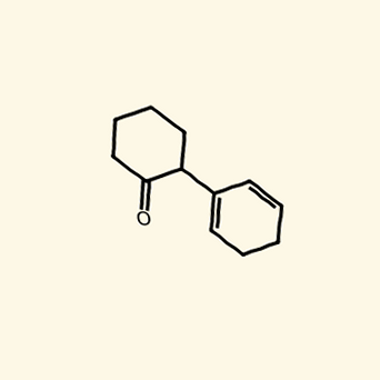 O=C1CCCCC1C1=CCCC=C1